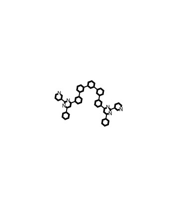 c1ccc(-c2cc(-c3cccc(-c4cccc(-c5cccc(-c6cccc(-c7cccc(-c8cc(-c9ccccc9)nc(-c9cccnc9)n8)c7)c6)c5)c4)c3)nc(-c3cccnc3)n2)cc1